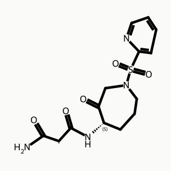 NC(=O)[CH]C(=O)N[C@H]1CCCN(S(=O)(=O)c2ccccn2)CC1=O